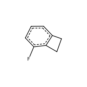 Fc1cccc2c1CC2